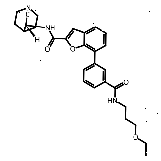 CCOCCCNC(=O)c1cccc(-c2cccc3cc(C(=O)N[C@H]4CN5CCC4CC5)oc23)c1